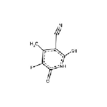 Cc1c(C#N)c(S)[nH]c(=O)c1F